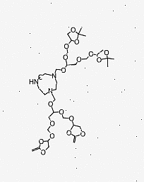 C=C1OCC(OCOCC(OCOC2COC(=C)O2)OCN2CCNCCN(CO[C@H](COCOC3COC(C)(C)O3)OCOC3COC(C)(C)O3)CC2)O1